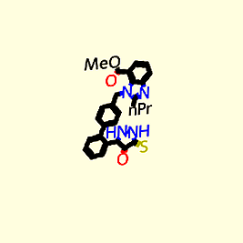 CCCc1nc2cccc(C(=O)OC)c2n1Cc1ccc(-c2ccccc2C2NNC(=S)C2=O)cc1